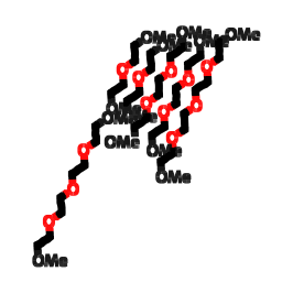 COCCOCCOC.COCCOCCOC.COCCOCCOCCOC.COCCOCCOCCOC.COCCOCCOCCOCCOC.COCCOCCOCCOCCOC